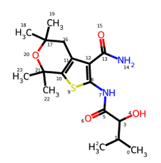 CC(C)C(O)C(=O)Nc1sc2c(c1C(N)=O)CC(C)(C)OC2(C)C